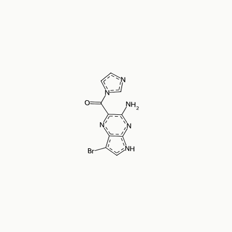 Nc1nc2[nH]cc(Br)c2nc1C(=O)n1ccnc1